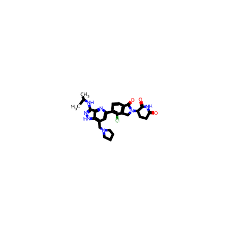 CC(C)Nc1n[nH]c2c(CN3CCCC3)cc(-c3ccc4c(c3Cl)CN(C3CCC(=O)NC3=O)C4=O)nc12